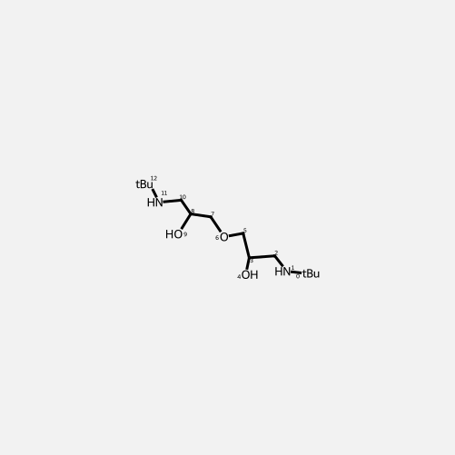 CC(C)(C)NCC(O)COCC(O)CNC(C)(C)C